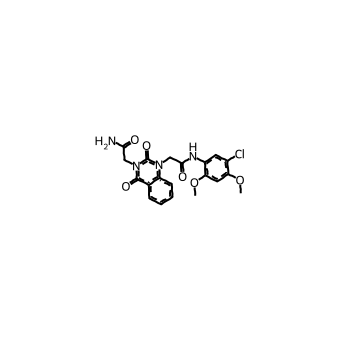 COc1cc(OC)c(NC(=O)Cn2c(=O)n(CC(N)=O)c(=O)c3ccccc32)cc1Cl